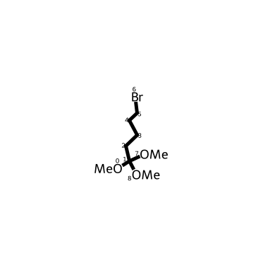 COC(CCCCBr)(OC)OC